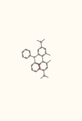 Cc1cc(N(C)C)cc(C)c1-c1c(C)cc(N(C)C)cc1P(c1ccccc1)c1ccccc1